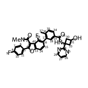 CNC(=O)c1c(-c2ccc(F)cc2)oc2ccc(-c3cc(C(=O)NC4(c5ncccn5)CC(O)C4)ccc3C)c(F)c12